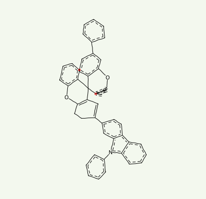 C1=C(c2ccc3c4ccccc4n(-c4ccccc4)c3c2)CCC2=C1C1(c3ccccc3O2)c2ccccc2Oc2cc(-c3ccccc3)ccc21